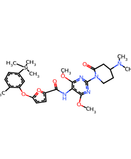 COc1nc(N2CCC(N(C)C)CC2=O)nc(OC)c1NC(=O)c1ccc(Oc2cc([Si](C)(C)C)ccc2C)o1